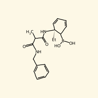 CC[C@]1(NC(=O)C(C)C(=O)NCc2ccccc2)C=CC=CC1B(O)O